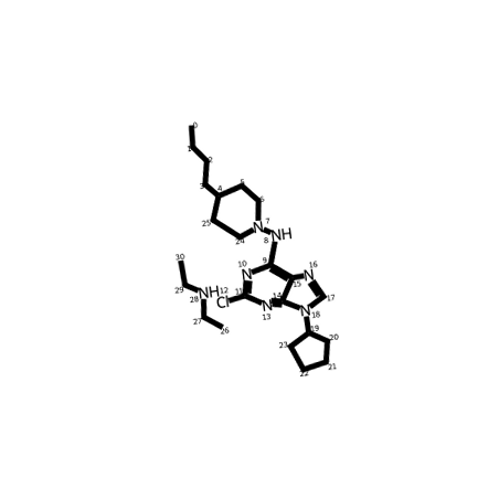 CCCCC1CCN(Nc2nc(Cl)nc3c2ncn3C2CCCC2)CC1.CCNCC